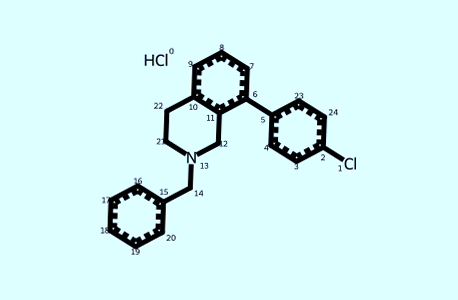 Cl.Clc1ccc(-c2cccc3c2CN(Cc2ccccc2)CC3)cc1